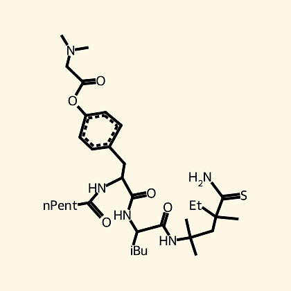 CCCCCC(=O)NC(Cc1ccc(OC(=O)CN(C)C)cc1)C(=O)NC(C(=O)NC(C)(C)CC(C)(CC)C(N)=S)C(C)CC